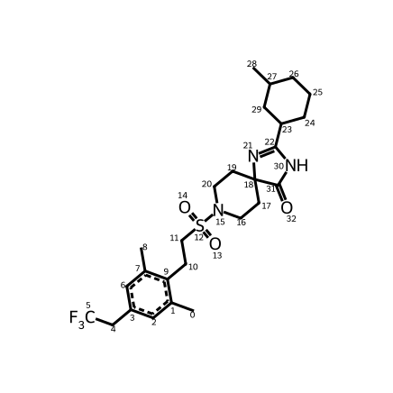 Cc1cc(CC(F)(F)F)cc(C)c1CCS(=O)(=O)N1CCC2(CC1)N=C(C1CCCC(C)C1)NC2=O